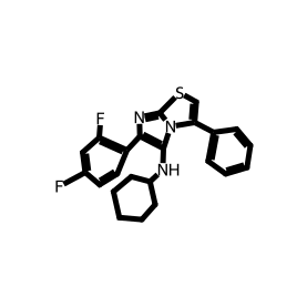 Fc1ccc(-c2nc3scc(-c4ccccc4)n3c2NC2CCCCC2)c(F)c1